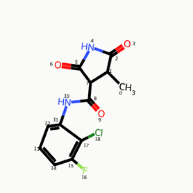 CC1C(=O)NC(=O)C1C(=O)Nc1cccc(F)c1Cl